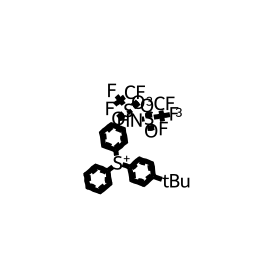 CC(C)(C)c1ccc([S+](c2ccccc2)c2ccccc2)cc1.O=S(=O)(NS(=O)(=O)C(F)(F)C(F)(F)F)C(F)(F)C(F)(F)F